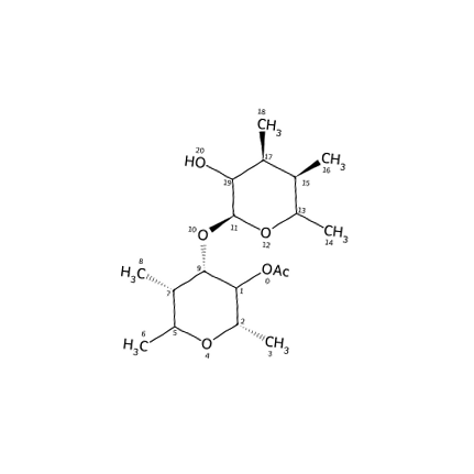 CC(=O)OC1[C@H](C)OC(C)[C@H](C)[C@@H]1O[C@@H]1OC(C)[C@H](C)[C@H](C)C1O